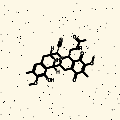 COC1=C(C)C(=O)C2=C(C1=O)[C@H](CNC(C)=O)N1C(C2)[C@H]2N[C@H](Cc3cc(C)c(OC)c(O)c32)[C@@H]1C#N